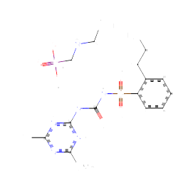 COc1nc(C)nc(NC(=O)NS(=O)(=O)c2ccccc2CCC(F)(F)F)n1.O=C(O)CNCP(=O)(O)O